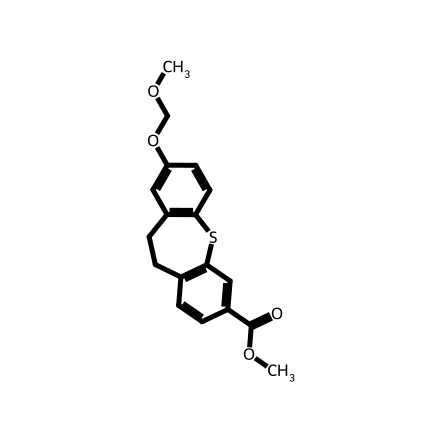 COCOc1ccc2c(c1)CCc1ccc(C(=O)OC)cc1S2